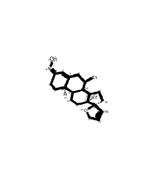 CCC1CC2=CC(=NO)CC[C@@H]2C2CC[C@@]3(CC)C(CC[C@@]34C=CCO4)C12